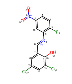 O=[N+]([O-])c1ccc(F)c(/N=C/c2cc(Cl)cc(Cl)c2O)c1